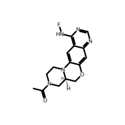 CC(=O)N1CCN2c3cc4c(NF)ncnc4cc3OC[C@H]2C1